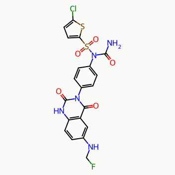 NC(=O)N(c1ccc(-n2c(=O)[nH]c3ccc(NCF)cc3c2=O)cc1)S(=O)(=O)c1ccc(Cl)s1